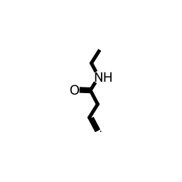 [CH]=CCC(=O)NCC